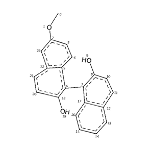 COc1ccc2c(-c3c(O)ccc4ccccc34)c(O)ccc2c1